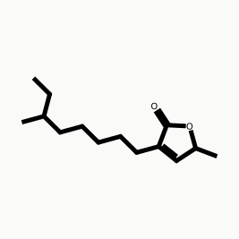 CCC(C)CCCCCC1=CC(C)OC1=O